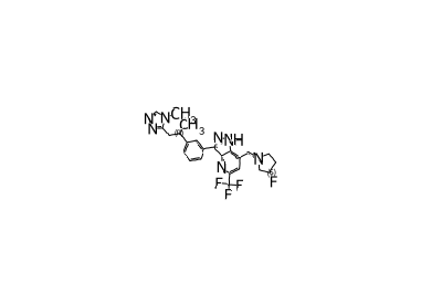 C[C@H](Cc1nncn1C)c1cccc(-c2n[nH]c3c(CN4CC[C@H](F)C4)cc(C(F)(F)F)nc23)c1